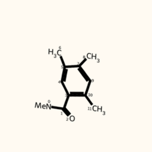 CNC(=O)c1cc(C)c(C)cc1C